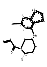 C=CC(=O)N1C[C@H](Nc2nc(Cl)nc3[nH]ccc23)CC[C@@H]1C